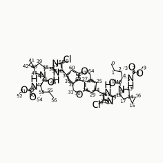 CC[C@H](C)[C@H](NC(=O)OC)C(=O)N1CC2(CC2)C[C@H]1c1nc(Cl)c(-c2cc3c4c(c2)OCc2cc(-c5[nH]c([C@@H]6CC7(CC7)CN6C(=O)[C@@H](NC(=O)OC)[C@@H](C)CC)nc5Cl)cc(c2-4)OC3)[nH]1